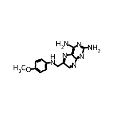 COc1ccc(NCc2cnc3nc(N)nc(N)c3n2)cc1